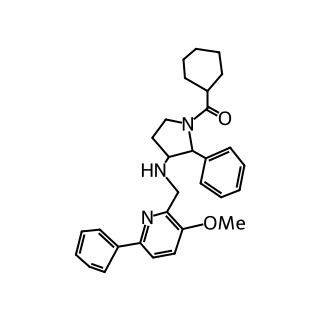 COc1ccc(-c2ccccc2)nc1CNC1CCN(C(=O)C2CCCCC2)C1c1ccccc1